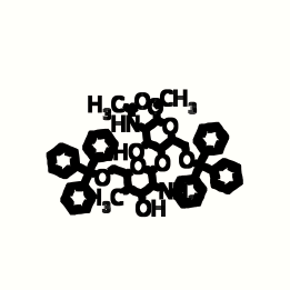 COC1OC(COC(c2ccccc2)(c2ccccc2)c2ccccc2)C(OC2OC(COC(c3ccccc3)(c3ccccc3)c3ccccc3)C(C)C(O)C2N)C(O)C1NC(C)=O